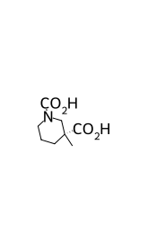 C[C@@]1(C(=O)O)CCCN(C(=O)O)C1